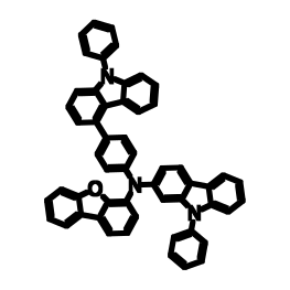 c1ccc(-n2c3ccccc3c3ccc(N(c4ccc(-c5cccc6c5c5ccccc5n6-c5ccccc5)cc4)c4cccc5c4oc4ccccc45)cc32)cc1